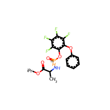 CC(C)OC(=O)C(C)N[P@@H](=O)Oc1c(F)c(F)c(F)c(F)c1Oc1ccccc1